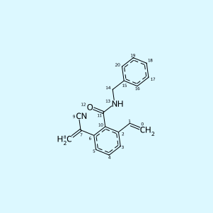 C=Cc1cccc(C(=C)C#N)c1C(=O)NCc1ccccc1